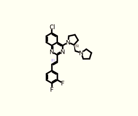 Fc1ccc(/C=C/c2nc(N3CCC[C@H]3CN3CCCC3)c3cc(Cl)ccc3n2)cc1F